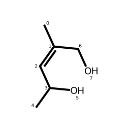 CC(=CC(C)O)CO